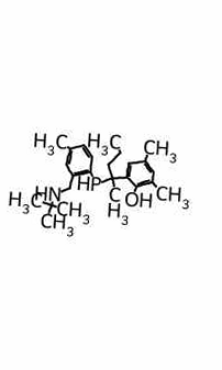 CCCC(C)(Pc1ccc(C)cc1CNC(C)(C)C)c1cc(C)cc(C)c1O